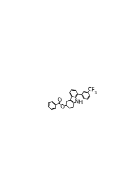 O=C(OC1CCc2[nH]c3c(-c4cccc(C(F)(F)F)c4)cccc3c2C1)c1ccccc1